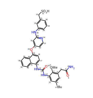 COc1c(CC(N)=O)cc(C(C)(C)C)cc1NC(=O)Nc1ccc(Oc2ccnc(Nc3cccc(CS(=O)(=O)O)c3)c2)c2ccccc12